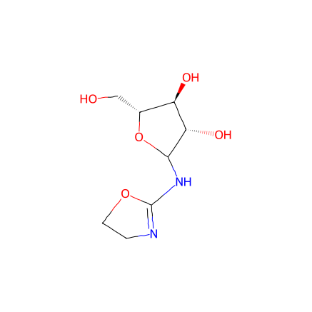 OC[C@H]1OC(NC2=NCCO2)[C@@H](O)[C@@H]1O